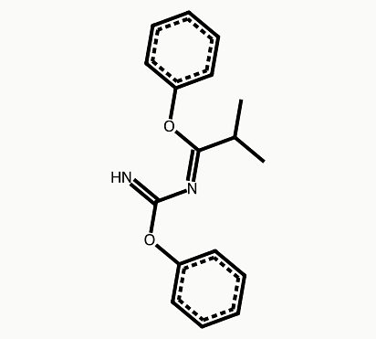 CC(C)C(=NC(=N)Oc1ccccc1)Oc1ccccc1